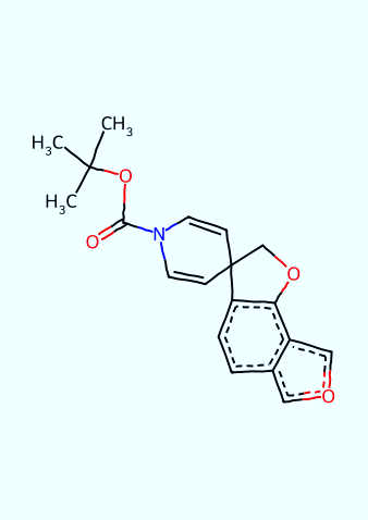 CC(C)(C)OC(=O)N1C=CC2(C=C1)COc1c2ccc2cocc12